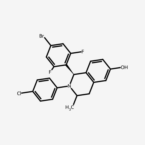 CC1Cc2cc(O)ccc2[C@H](c2c(F)cc(Br)cc2F)N1c1ccc(Cl)cc1